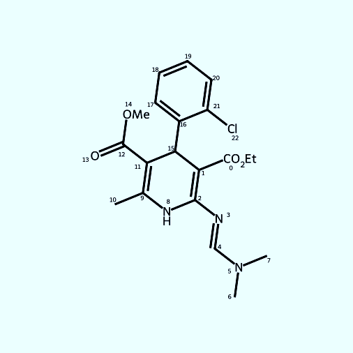 CCOC(=O)C1=C(N=CN(C)C)NC(C)=C(C(=O)OC)C1c1ccccc1Cl